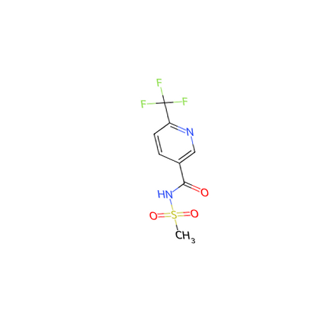 CS(=O)(=O)NC(=O)c1ccc(C(F)(F)F)nc1